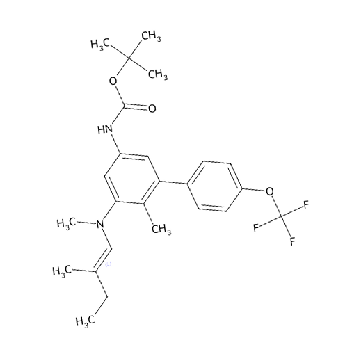 CC/C(C)=C/N(C)c1cc(NC(=O)OC(C)(C)C)cc(-c2ccc(OC(F)(F)F)cc2)c1C